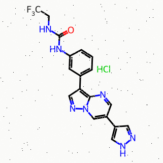 Cl.O=C(NCC(F)(F)F)Nc1cccc(-c2cnn3cc(-c4cn[nH]c4)cnc23)c1